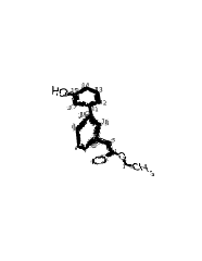 CCOC(=O)Cc1cccc(-c2cccc(O)c2)c1